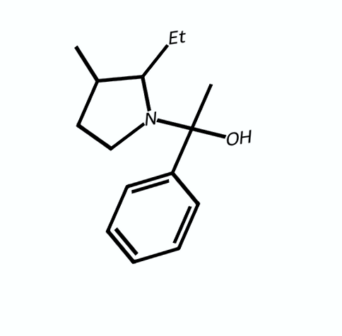 CCC1C(C)CCN1C(C)(O)c1ccccc1